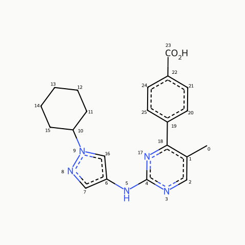 Cc1cnc(Nc2cnn(C3CCCCC3)c2)nc1-c1ccc(C(=O)O)cc1